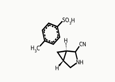 Cc1ccc(S(=O)(=O)O)cc1.N#CC1NC[C@@H]2C[C@@H]12